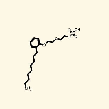 CCCCCCCCCc1ccccc1OCCOCCOS(=O)(=O)O